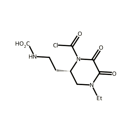 CCN1C[C@H](CCNC(=O)O)N(C(=O)Cl)C(=O)C1=O